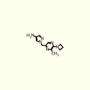 Cc1nc(Cn2cc(N)cn2)cnc1N1CCC1